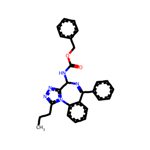 CCCc1nnc2n1-c1ccccc1C(c1ccccc1)=NC2NC(=O)OCc1ccccc1